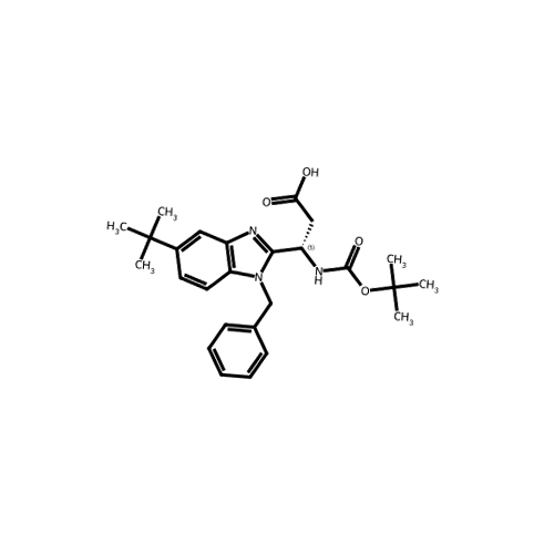 CC(C)(C)OC(=O)N[C@@H](CC(=O)O)c1nc2cc(C(C)(C)C)ccc2n1Cc1ccccc1